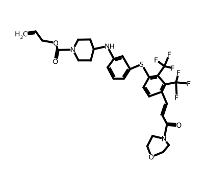 C=CCOC(=O)N1CCC(Nc2cccc(Sc3ccc(C=CC(=O)N4CCOCC4)c(C(F)(F)F)c3C(F)(F)F)c2)CC1